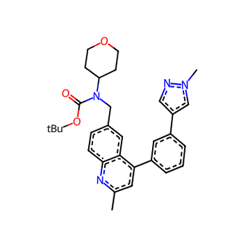 Cc1cc(-c2cccc(-c3cnn(C)c3)c2)c2cc(CN(C(=O)OC(C)(C)C)C3CCOCC3)ccc2n1